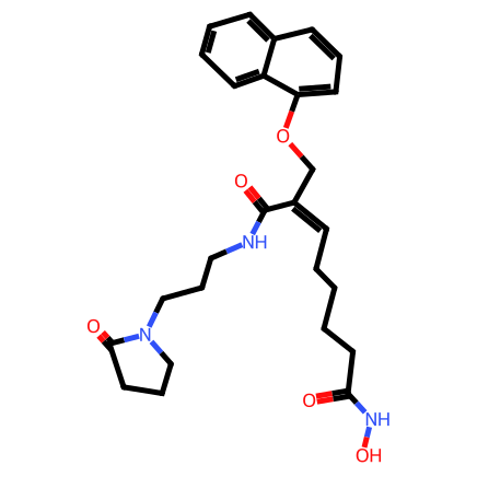 O=C(CCCCC=C(COc1cccc2ccccc12)C(=O)NCCCN1CCCC1=O)NO